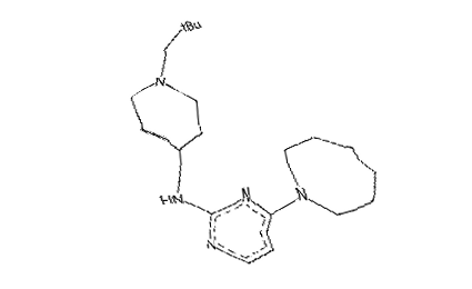 CC(C)(C)CN1CCC(Nc2nccc(N3CCCCCC3)n2)CC1